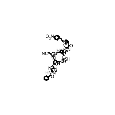 N#CCCOP1(=S)OC[C@H]2C[C@@H](n3cnc4c(=O)n5ccn(CCc6ccc([N+](=O)[O-])cc6)c5nc43)[C@@H]2COP(=O)(S)OC[C@H]2O[C@@H](n3cnc4c(NC(=O)c5ccccc5)ncnc43)C[C@@H]2O1